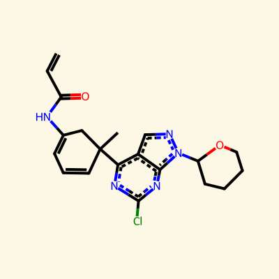 C=CC(=O)NC1=CC=CC(C)(c2nc(Cl)nc3c2cnn3C2CCCCO2)C1